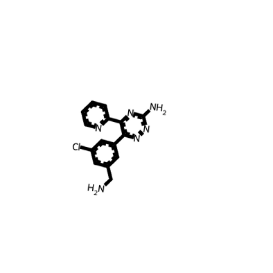 NCc1cc(Cl)cc(-c2nnc(N)nc2-c2ccccn2)c1